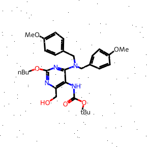 CCCCOc1nc(CO)c(NC(=O)OC(C)(C)C)c(N(Cc2ccc(OC)cc2)Cc2ccc(OC)cc2)n1